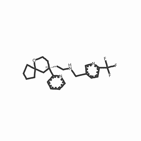 FC(F)(F)c1ccc(CNCC[C@@]2(c3ccccn3)CCOC3(CCCC3)C2)cn1